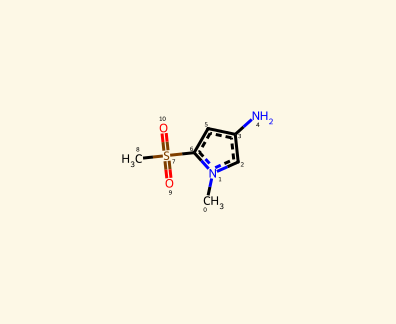 Cn1cc(N)cc1S(C)(=O)=O